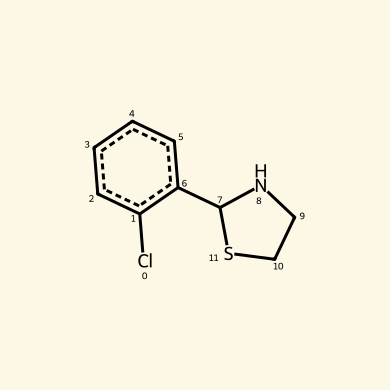 Clc1ccccc1C1NCCS1